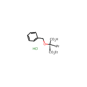 CCOC(=O)[C@@](OCc1ccccc1)(C(=O)O)C(C)C.Cl